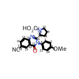 COc1ccc(-n2c([C@H]3CCCN3C(=O)O)nc3ccc(C#N)cc3c2=O)cc1